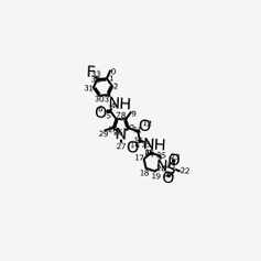 Cc1cc(NC(=O)c2c(C)c(C(=O)C(=O)N[C@@H]3CCCN(S(C)(=O)=O)C3)n(C)c2C)ccc1F